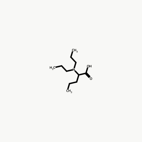 CCCC(C(=O)O)N(CCC)CCC